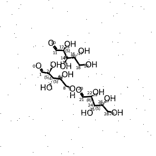 O=C[C@@H](O)[C@@H](O)[C@H](O)CO.O=C[C@@H](O)[C@H](O)[C@H](O)CO.O=C[C@H](O)[C@@H](O)[C@H](O)CO